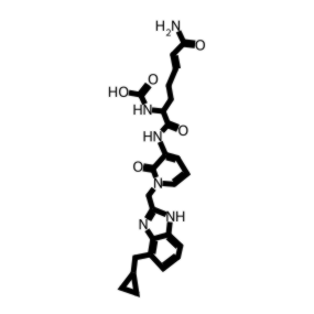 NC(=O)C=CCCC(NC(=O)O)C(=O)Nc1cccn(Cc2nc3c(CC4CC4)cccc3[nH]2)c1=O